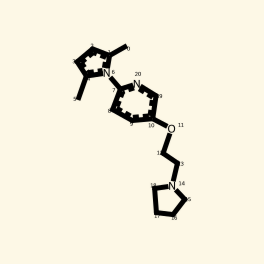 Cc1ccc(C)n1-c1ccc(OCCN2CCCC2)cn1